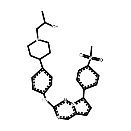 CC(O)CN1CCC(c2ccc(Nc3ncc4ccc(-c5ccc(S(C)(=O)=O)cc5)n4n3)cc2)CC1